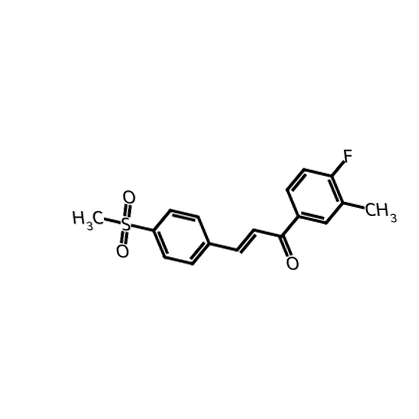 Cc1cc(C(=O)C=Cc2ccc(S(C)(=O)=O)cc2)ccc1F